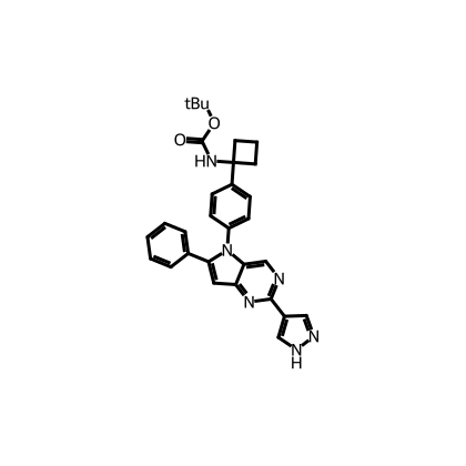 CC(C)(C)OC(=O)NC1(c2ccc(-n3c(-c4ccccc4)cc4nc(-c5cn[nH]c5)ncc43)cc2)CCC1